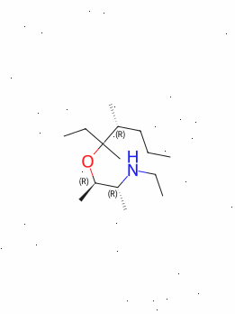 CCC[C@@H](C)C(C)(CC)O[C@H](C)[C@@H](C)NCC